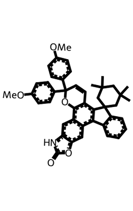 COc1ccc(C2(c3ccc(OC)cc3)C=Cc3c4c(c5cc6oc(=O)[nH]c6cc5c3O2)-c2ccccc2C42CC(C)(C)CC(C)(C)C2)cc1